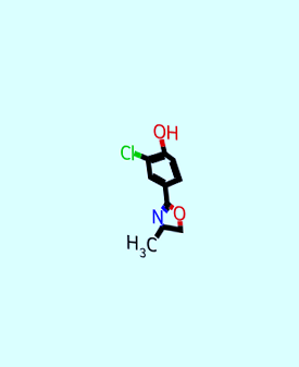 CC1COC(c2ccc(O)c(Cl)c2)=N1